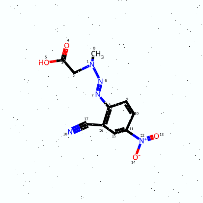 CN(CC(=O)O)/N=N/c1ccc([N+](=O)[O-])cc1C#N